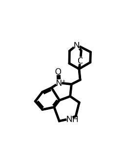 O=[N+]1c2cccc3c2C(CCNC3)C1CC12CCN(CC1)CC2